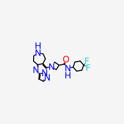 O=C(NC1CCC(F)(F)CC1)C1CN(c2c3c(nc4ccnn24)CCNCC3)C1